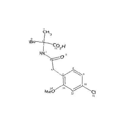 CCC(C)C(C)(NC(=O)Cc1ccc(Cl)cc1OC)C(=O)O